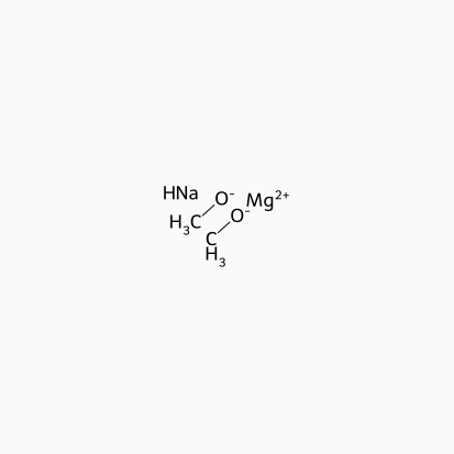 C[O-].C[O-].[Mg+2].[NaH]